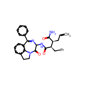 C=CC[C@H](C(N)=O)[C@@H](CC(C)C)C(=O)NC1N=C(c2ccccc2)c2cccc3c2N(CC3)C1=O